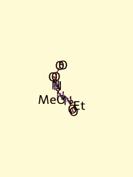 C=CC(=O)OCCC(CC)Cc1ccc(/N=C/c2ccc(/N=C/Cc3ccc(/N=N/c4ccc(C(=O)OCCCCCCOC(=O)C(=C)C)cc4)cc3)c(OC)c2)cc1